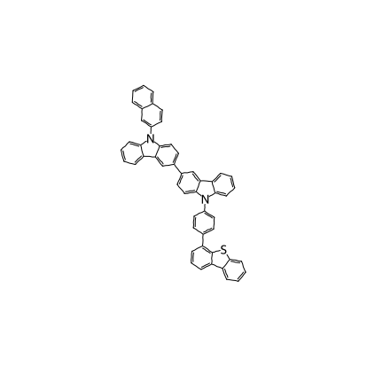 c1ccc2cc(-n3c4ccccc4c4cc(-c5ccc6c(c5)c5ccccc5n6-c5ccc(-c6cccc7c6sc6ccccc67)cc5)ccc43)ccc2c1